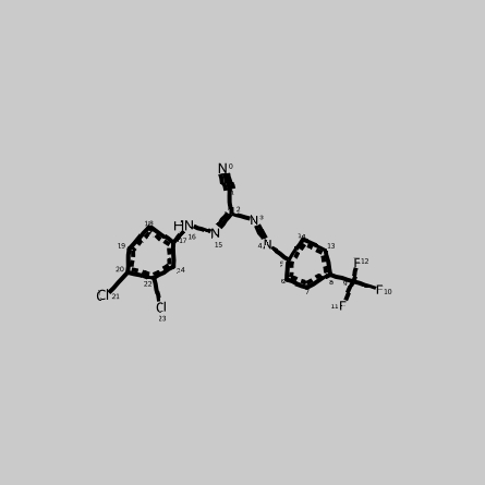 N#CC(N=Nc1ccc(C(F)(F)F)cc1)=NNc1ccc(Cl)c(Cl)c1